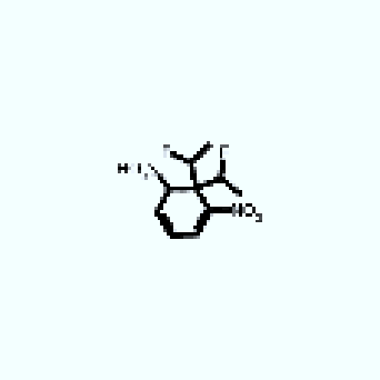 CC(F)C1(C(C)F)C([N+](=O)[O-])=CC=CC1S(=O)(=O)O